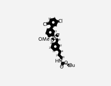 COc1ccc(-c2cc(Cl)ccc2Cl)cc1S(=O)(=O)Cc1cccc(CCCNC(=O)OC(C)(C)C)c1